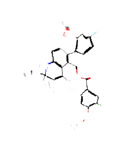 COc1ccc(C(=O)OCc2c(-c3ccc(F)cc3OC)ccc3c2C(C)=CC(C)(C)N3)cc1Cl